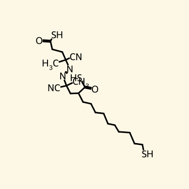 CC(C#N)(CCC(=O)S)/N=N/C(C)(C#N)CC(CCCCCCCCCCS)C(=O)S